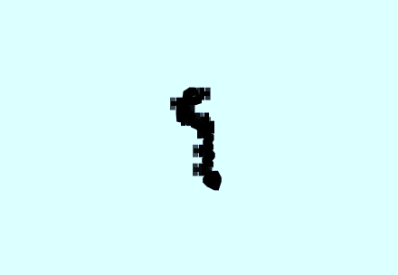 c1cc(NC2CCNCC2)nc(NCc2nnn(CCCNCCCNC3CCCCC3)n2)n1